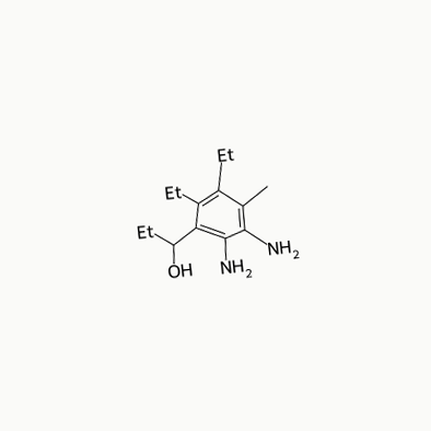 CCc1c(C)c(N)c(N)c(C(O)CC)c1CC